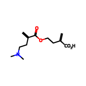 C=C(CCOC(=O)C(=C)CCN(C)C)C(=O)O